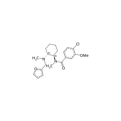 COc1cc(C(=O)N(C)[C@@H]2CCCC[C@H]2N(C)Cc2ccco2)ccc1Cl